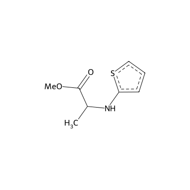 COC(=O)C(C)Nc1cccs1